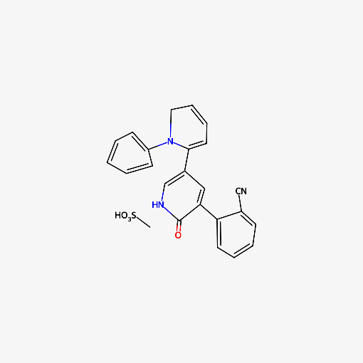 CS(=O)(=O)O.N#Cc1ccccc1-c1cc(C2=CC=CCN2c2ccccc2)c[nH]c1=O